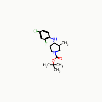 C[C@H]1CN(C(=O)OC(C)(C)C)CC[C@@H]1Nc1ccc(Cl)cc1F